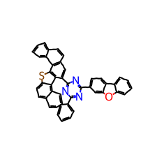 c1ccc(-c2nc(-c3ccc4c(c3)oc3ccccc34)nc(-c3cc4ccc5ccccc5c4c4sc5ccc6ccccc6c5c34)n2)cc1